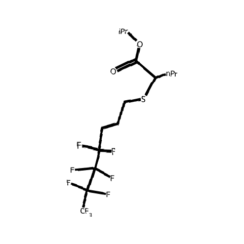 CCCC(SCCCC(F)(F)C(F)(F)C(F)(F)C(F)(F)F)C(=O)OC(C)C